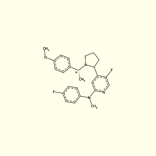 COc1ccc([C@@H](C)N2CCCC2c2cc(N(C)c3ccc(F)cc3)ncc2F)cc1